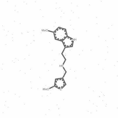 COc1ccc2[nH]cc(CCNCc3csc(OC)c3)c2c1